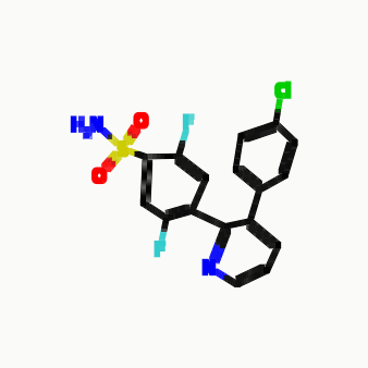 NS(=O)(=O)c1cc(F)c(-c2ncccc2-c2ccc(Cl)cc2)cc1F